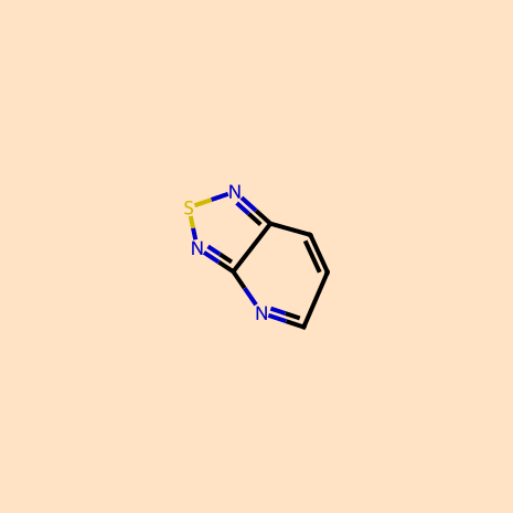 c1cnc2nsnc2c1